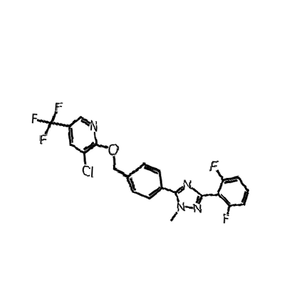 Cn1nc(-c2c(F)cccc2F)nc1-c1ccc(COc2ncc(C(F)(F)F)cc2Cl)cc1